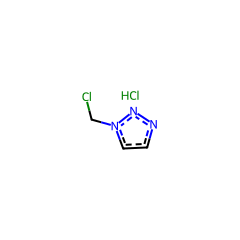 Cl.ClCn1ccnn1